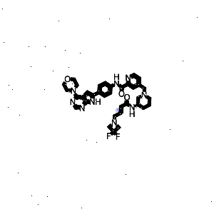 O=C(/C=C/CN1CC(F)(F)C1)N[C@@H]1CCCN(Cc2ccnc(C(=O)Nc3ccc(-c4cc5c(N6CCOCC6)ncnc5[nH]4)cc3)c2)C1